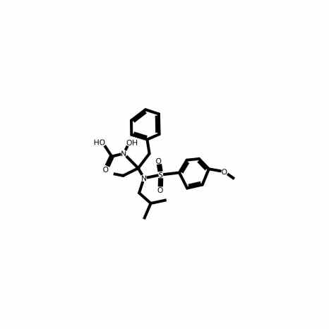 CCC(Cc1ccccc1)(N(O)C(=O)O)N(CC(C)C)S(=O)(=O)c1ccc(OC)cc1